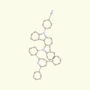 N#Cc1ccc(-n2c3ccccc3c3c2ccc2c4ccccc4n(-c4ccccc4-c4cc(-c5ccccc5)cc(-c5ccccc5)n4)c23)cc1